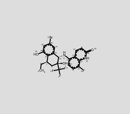 CC[C@@H]1C[C@@](O)(C(F)(F)F)[C@@H](Nc2ccc(F)c3[nH]c(=O)ccc23)c2cc(Br)cc(O)c21